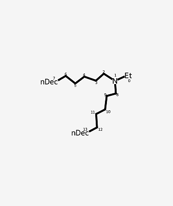 [CH2]CN(CCCCCCCCCCCCCCC)CCCCCCCCCCCCCCC